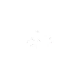 CCCCC1(C(=O)O)CC(C)(C(=O)O)CC=C1c1ccccc1F